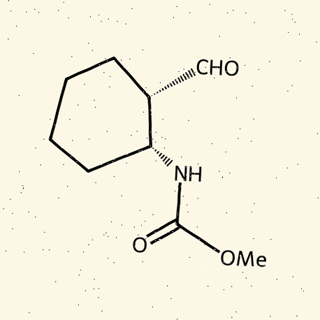 COC(=O)N[C@@H]1CCCC[C@@H]1C=O